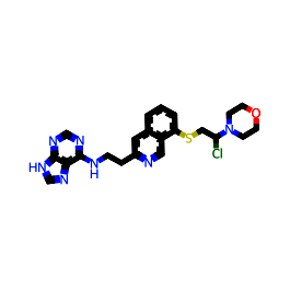 ClC(CSc1cccc2cc(CCNc3ncnc4[nH]cnc34)ncc12)N1CCOCC1